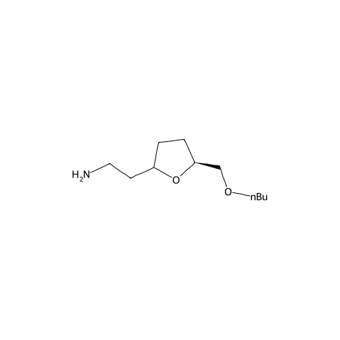 CCCCOC[C@@H]1CCC(CCN)O1